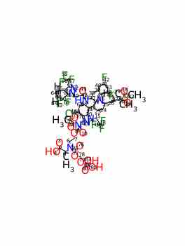 CC(C(=O)O)N(CCOC(=O)N(c1nn(CC(F)(F)F)c2c(-c3ccc(C#CC(C)(C)S(C)(=O)=O)nc3C(Cc3cc(F)cc(F)c3)NC(=O)Cn3nc(C(F)(F)F)c4c3C(F)(F)[C@@H]3C[C@H]43)ccc(Cl)c12)S(C)(=O)=O)C(=O)OCOP(=O)(O)O